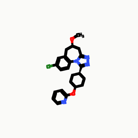 CO[C@@H]1Cc2cc(Cl)ccc2-n2c(nnc2[C@H]2CC[C@H](Oc3ccccn3)CC2)C1